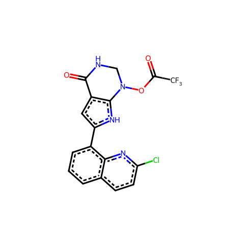 O=C1NCN(OC(=O)C(F)(F)F)c2[nH]c(-c3cccc4ccc(Cl)nc34)cc21